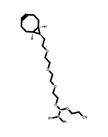 CC(C)N(C(C)C)P(OCCC#N)OCCOCCOCCOCC[C@@H]1[C@@H]2CCC#CCC[C@@H]21